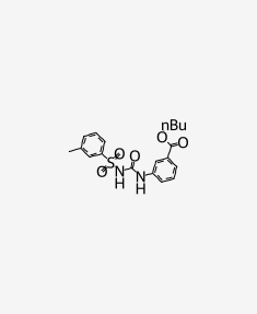 CCCCOC(=O)c1cccc(NC(=O)NS(=O)(=O)c2cccc(C)c2)c1